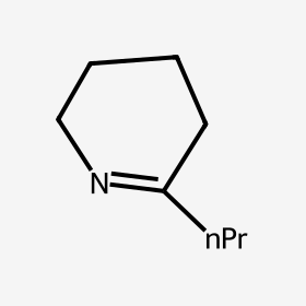 CCCC1=NCCCC1